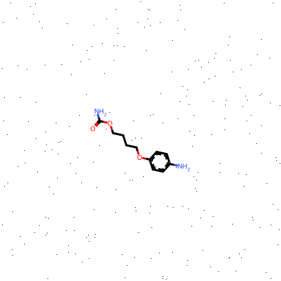 NC(=O)OCCCCOc1ccc(N)cc1